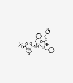 CC(C)(C)OC(=O)N1CSC[C@H]1C(=O)N[C@H](CC[C@H](Cc1ccccc1)NC(=O)OCc1cncs1)Cc1ccccc1